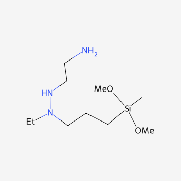 CCN(CCC[Si](C)(OC)OC)NCCN